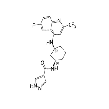 O=C(N[C@@H]1CCC[C@H](Nc2cc(C(F)(F)F)nc3ccc(F)cc23)C1)c1cn[nH]c1